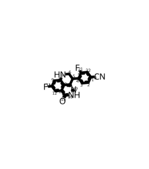 N#Cc1ccc(C2CNc3cc(F)cc4c(=O)[nH]nc2c34)c(F)c1